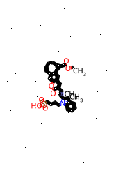 CCOC(=O)C1C2CCC#Cc3cc4oc(=O)c(/C=C/C5=[N+](CCCCS(=O)(=O)O)c6ccccc6C5(C)C)cc4cc3C21